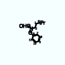 CC(C)CCN(C=O)Oc1ccccc1